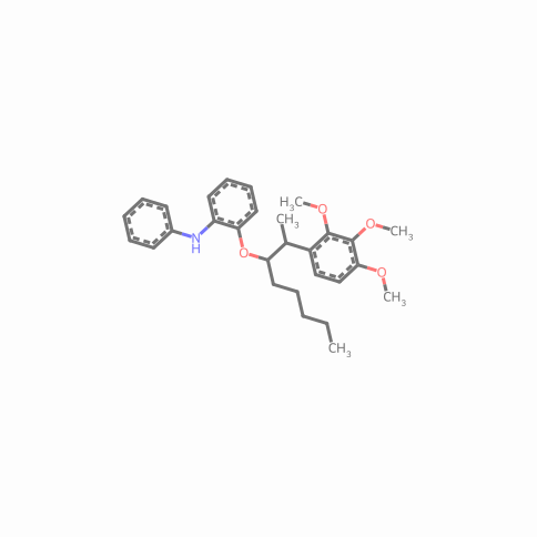 CCCCCC(Oc1ccccc1Nc1ccccc1)C(C)c1ccc(OC)c(OC)c1OC